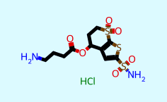 Cl.NCCCC(=O)OC1CCS(=O)(=O)c2sc(S(N)(=O)=O)cc21